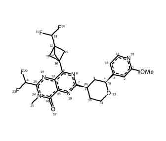 COc1cc([C@@H]2C[C@H](c3nc(C45CC(C(F)F)(C4)C5)c4nc(C(F)F)n(C)c(=O)c4n3)CCO2)ccn1